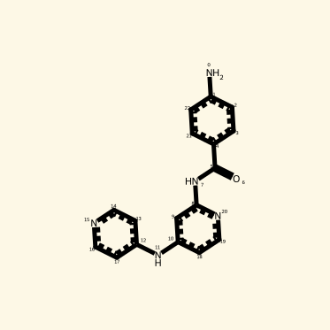 Nc1ccc(C(=O)Nc2cc(Nc3ccncc3)ccn2)cc1